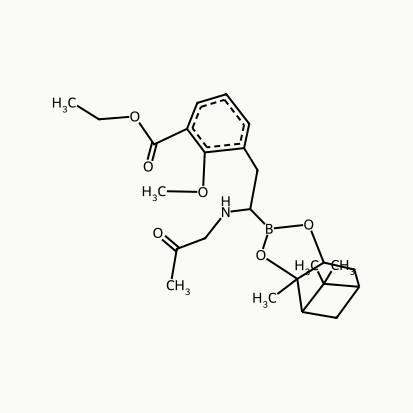 CCOC(=O)c1cccc(CC(NCC(C)=O)B2OC3CC4CC(C4(C)C)C3(C)O2)c1OC